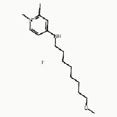 COCCCCCCCCNc1cc[n+](C)c(I)c1.[I-]